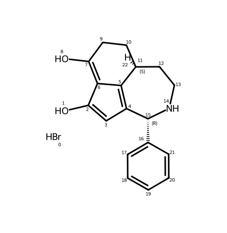 Br.OC1=CC2=C3C1=C(O)CC[C@H]3CCN[C@@H]2c1ccccc1